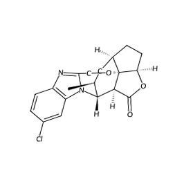 C[C@H]1C[C@H]2CC[C@H]3OC(=O)[C@H]4[C@@H]1n1c(nc5ccc(Cl)cc51)CO[C@]234